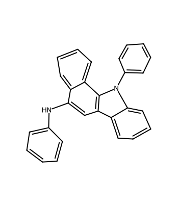 c1ccc(Nc2cc3c4ccccc4n(-c4ccccc4)c3c3ccccc23)cc1